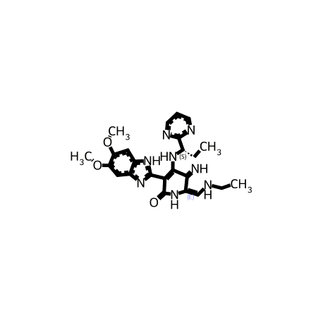 CCN/C=C1/NC(=O)C(c2nc3cc(OC)c(OC)cc3[nH]2)=C(N[C@@H](CC)c2ncccn2)C1=N